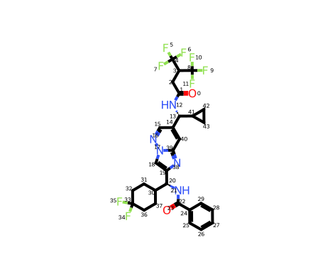 O=C(CC(C(F)(F)F)C(F)(F)F)N[C@@H](c1cnn2cc([C@@H](NC(=O)c3ccccc3)C3CCC(F)(F)CC3)nc2c1)C1CC1